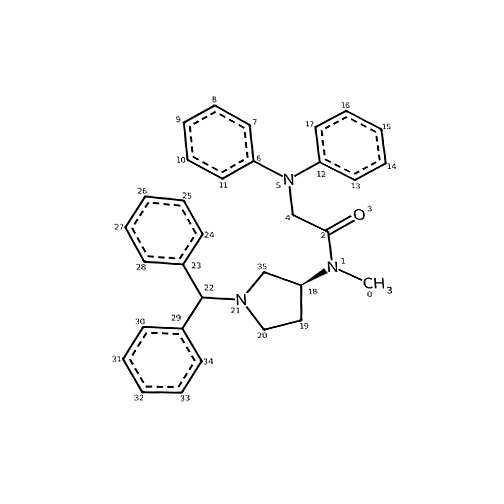 CN(C(=O)CN(c1ccccc1)c1ccccc1)[C@H]1CCN(C(c2ccccc2)c2ccccc2)C1